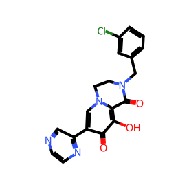 O=C1c2c(O)c(=O)c(-c3cnccn3)cn2CCN1Cc1cccc(Cl)c1